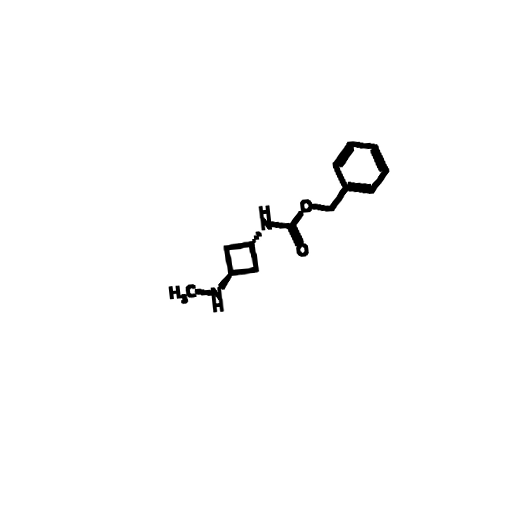 CN[C@H]1C[C@H](NC(=O)OCc2ccccc2)C1